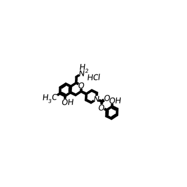 Cc1ccc2c(c1O)CC(C1CCN(C(=O)Oc3ccccc3O)CC1)OC2CN.Cl